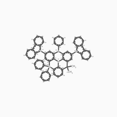 CC1(C)c2cc(-n3c4ccccc4c4ccccc43)cc3c2N2c4c(cc(-n5c6ccccc6c6ccccc65)cc4[Si](c4ccccc4)(c4ccccc4)c4cccc1c42)B3c1ccccc1